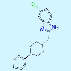 Clc1ccc2[nH]c(C[C@H]3CC[C@H](c4ccccc4)CC3)nc2c1